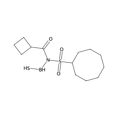 O=C(C1CCC1)N(BS)S(=O)(=O)C1CCCCCCC1